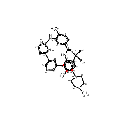 Cc1ccc(C(=O)Nc2ccc(N3CCN(C)CC3)cc2C(F)(F)F)cc1Nc1nccc(-c2cncc(-c3oncc3C)c2)n1